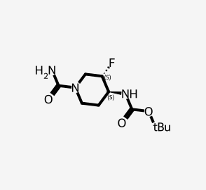 CC(C)(C)OC(=O)N[C@H]1CCN(C(N)=O)C[C@@H]1F